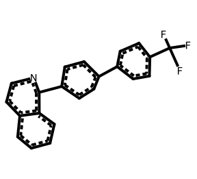 FC(F)(F)c1ccc(-c2ccc(-c3nccc4ccccc34)cc2)cc1